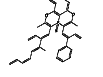 C=C\C=C/C=C(C)/C(C=C)=C/C1=C(C)OC(C=C)=C2/C(=C\C)OC(C)=C(/C=C(\C=C)c3ccccc3)P12=S